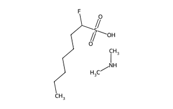 CCCCCCC(F)S(=O)(=O)O.CNC